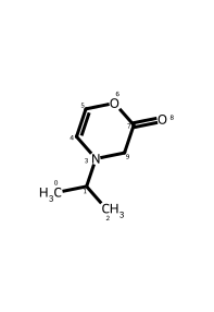 CC(C)N1C=COC(=O)C1